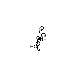 O=C(Nc1cccc(OC2CCCC2)c1)N1CCC(O)(C2CCC2)CC1